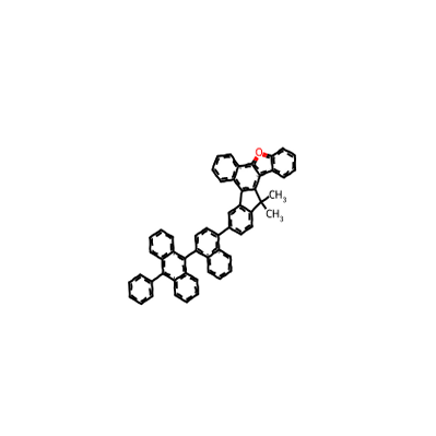 CC1(C)c2ccc(-c3ccc(-c4c5ccccc5c(-c5ccccc5)c5ccccc45)c4ccccc34)cc2-c2c1c1c3ccccc3oc1c1ccccc21